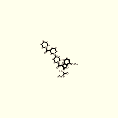 CNC(=O)Nc1sc2c(OC)cccc2c1C(=O)N1CCC(N2CCCC(C(=O)N3CCCCC3)C2)CC1